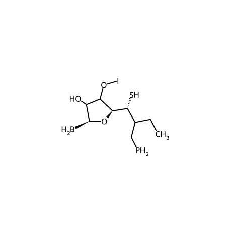 B[C@@H]1O[C@H]([C@H](S)C(CC)CP)C(OI)C1O